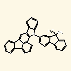 CC1(C)c2ccccc2-c2ccc(-n3c4ccccc4c4cc5c6c(cccc6c43)-c3ccccc3-5)cc21